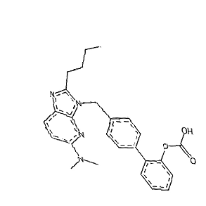 CCCCc1nc2ccc(N(C)C)nc2n1Cc1ccc(-c2ccccc2OC(=O)O)cc1